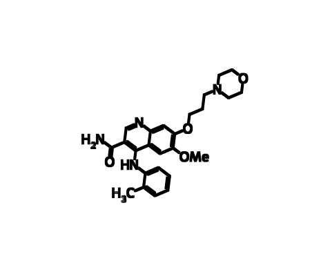 COc1cc2c(Nc3ccccc3C)c(C(N)=O)cnc2cc1OCCCN1CCOCC1